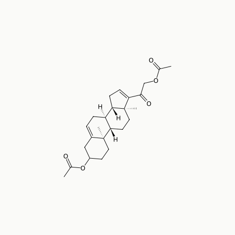 CC(=O)OCC(=O)C1=CC[C@H]2[C@@H]3CC=C4CC(OC(C)=O)CC[C@]4(C)[C@H]3CC[C@]12C